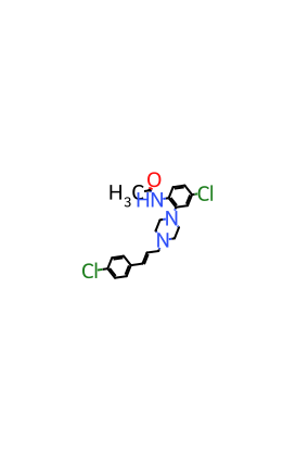 CC(=O)Nc1ccc(Cl)cc1N1CCN(CC=Cc2ccc(Cl)cc2)CC1